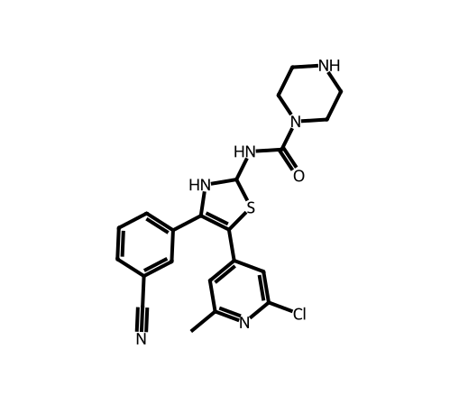 Cc1cc(C2=C(c3cccc(C#N)c3)NC(NC(=O)N3CCNCC3)S2)cc(Cl)n1